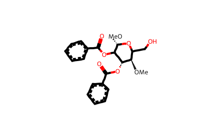 CO[C@@H]1OC(CO)[C@@H](OC)[C@H](OC(=O)c2ccccc2)C1OC(=O)c1ccccc1